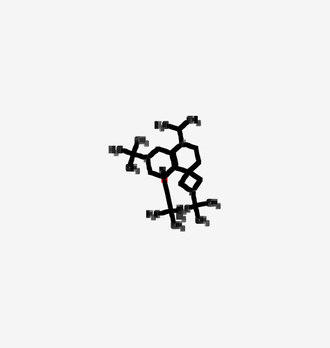 CC(C)N1CCC2(CN(C(C)(C)C)C2)C2=C1CN(C(C)(C)C)CC21CN(C(C)(C)C)C1